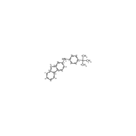 CC(C)(C)c1ccc(Nc2ccc3c(c2)oc2ccccc23)cc1